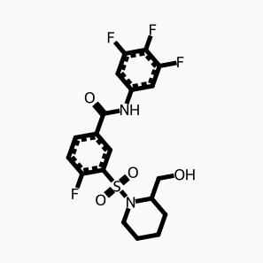 O=C(Nc1cc(F)c(F)c(F)c1)c1ccc(F)c(S(=O)(=O)N2CCCCC2CO)c1